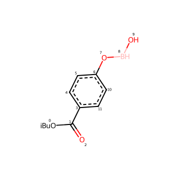 CC(C)COC(=O)c1ccc(OBO)cc1